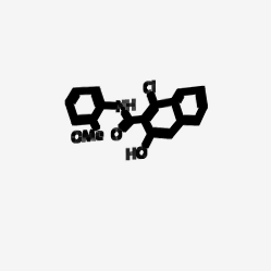 COc1ccccc1NC(=O)c1c(O)cc2ccccc2c1Cl